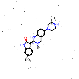 CC(C)N1Cc2cc(N3CCN[C@@H](C)C3)ccc2N/C1=C1\C(=O)Nc2cc([N+](=O)[O-])ccc21